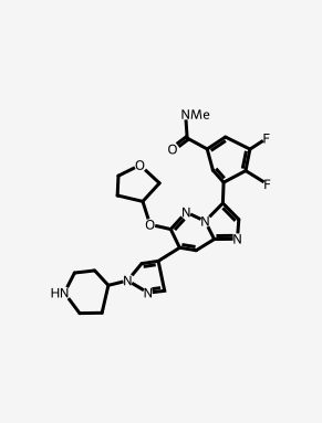 CNC(=O)c1cc(F)c(F)c(-c2cnc3cc(-c4cnn(C5CCNCC5)c4)c(OC4CCOC4)nn23)c1